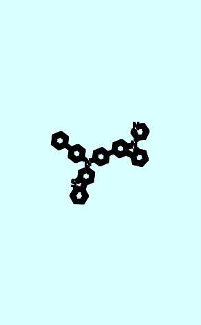 c1ccc(-c2ccc(N(c3ccc(-c4ccc5c(c4)c4ccccc4n5-c4cccnc4)cc3)c3ccc4c(c3)sc3ccccc34)cc2)cc1